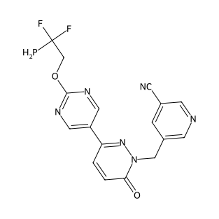 N#Cc1cncc(Cn2nc(-c3cnc(OCC(F)(F)P)nc3)ccc2=O)c1